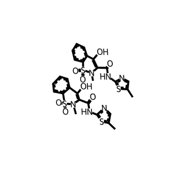 Cc1cnc(NC(=O)C2=C(O)c3ccccc3S(=O)(=O)N2C)s1.Cc1cnc(NC(=O)C2=C(O)c3ccccc3S(=O)(=O)N2C)s1